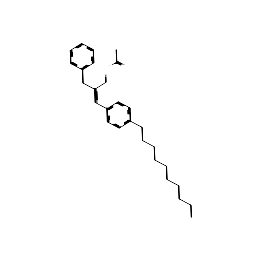 CCCCCCCCCCc1ccc(C=C(COC(C)=O)Cc2ccccc2)cc1